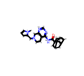 Cn1cccc1CN1CCc2c(ncnc2NC(=O)C23CC4CC(CC(C4)C2)C3)C1